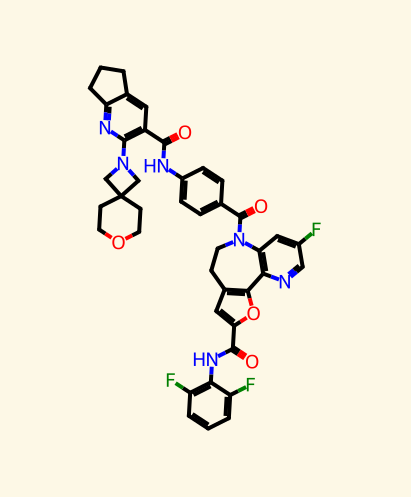 O=C(Nc1c(F)cccc1F)c1cc2c(o1)-c1ncc(F)cc1N(C(=O)c1ccc(NC(=O)c3cc4c(nc3N3CC5(CCOCC5)C3)CCC4)cc1)CC2